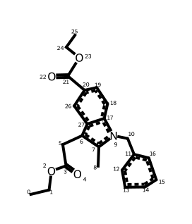 CCOC(=O)Cc1c(C)n(Cc2ccccc2)c2ccc(C(=O)OCC)cc12